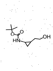 CC(C)(C)OC(=O)NC1CC1CCO